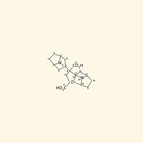 CN1C2CCC1CC(C(CCC(=O)O)(C(=O)O)C1CC3CCC(C1)N3C)C2